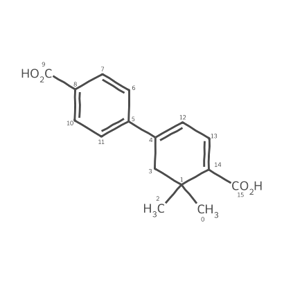 CC1(C)CC(c2ccc(C(=O)O)cc2)=CC=C1C(=O)O